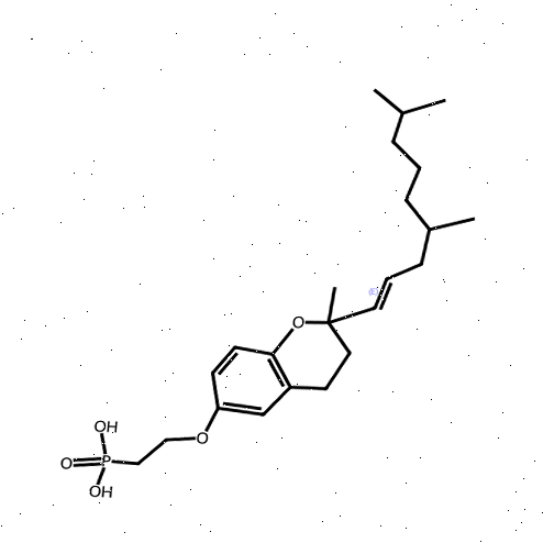 CC(C)CCCC(C)C/C=C/C1(C)CCc2cc(OCCP(=O)(O)O)ccc2O1